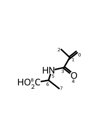 C=C(C)C(=O)NC(C)C(=O)O